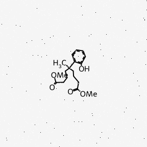 COC(=O)CCCC(C)(CCCC(=O)OC)c1ccccc1O